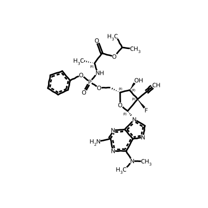 C#C[C@@]1(F)[C@H](O)[C@@H](COP(=O)(N[C@H](C)C(=O)OC(C)C)Oc2ccccc2)O[C@H]1n1cnc2c(N(C)C)nc(N)nc21